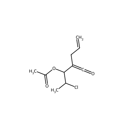 C=CCC(=C=O)C(OC(C)=O)C(C)Cl